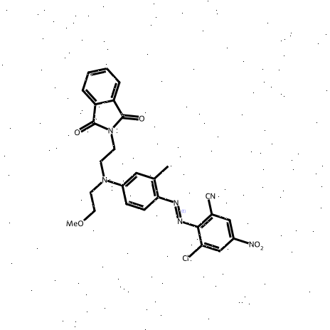 COCCN(CCN1C(=O)c2ccccc2C1=O)c1ccc(/N=N/c2c(Cl)cc([N+](=O)[O-])cc2C#N)c(C)c1